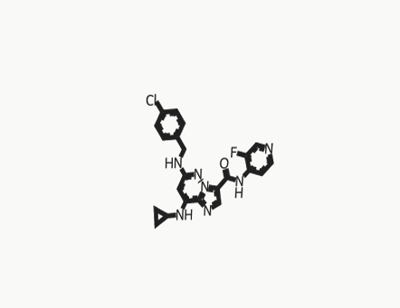 O=C(Nc1ccncc1F)c1cnc2c(NC3CC3)cc(NCc3ccc(Cl)cc3)nn12